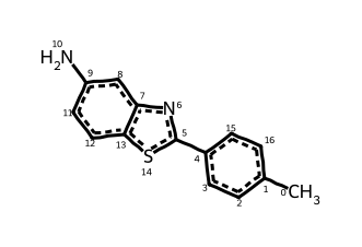 Cc1ccc(-c2nc3cc(N)ccc3s2)cc1